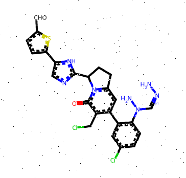 N/N=C\N(N)c1ccc(Cl)cc1-c1cc2n(c(=O)c1CCl)C(c1ncc(-c3ccc(C=O)s3)[nH]1)CC2